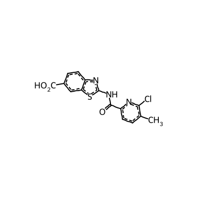 Cc1ccc(C(=O)Nc2nc3ccc(C(=O)O)cc3s2)nc1Cl